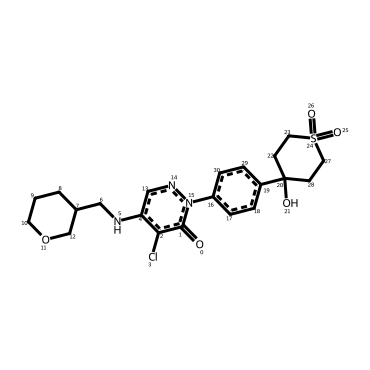 O=c1c(Cl)c(NCC2CCCOC2)cnn1-c1ccc(C2(O)CCS(=O)(=O)CC2)cc1